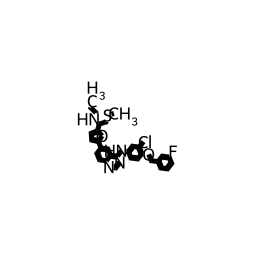 CCCNC(CSC)c1ccc(-c2ccc3ncnc(Nc4ccc(OCc5cccc(F)c5)c(Cl)c4)c3c2)o1